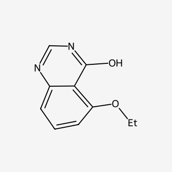 CCOc1cccc2ncnc(O)c12